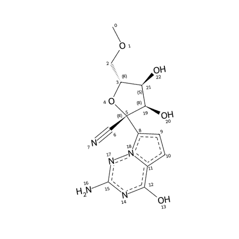 COC[C@H]1O[C@@](C#N)(c2ccc3c(O)nc(N)nn23)[C@H](O)[C@@H]1O